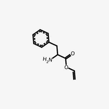 C=COC(=O)C(N)Cc1ccccc1